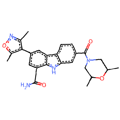 Cc1noc(C)c1-c1cc(C(N)=O)c2[nH]c3cc(C(=O)N4CC(C)OC(C)C4)ccc3c2c1